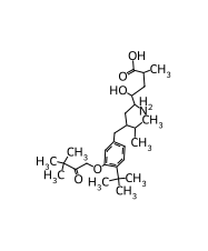 CC(CC(O)C(N)CC(Cc1ccc(C(C)(C)C)c(OCC(=O)C(C)(C)C)c1)C(C)C)C(=O)O